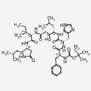 CC[C@H](C)[C@H](NC(=O)C[C@H](O)[C@H](CC(C)C)NC(=O)[C@H](Cc1c[nH]cn1)NC(=O)[C@H](Cc1ccccc1)NC(=O)OC(C)(C)C)C(=O)N[C@@H]1CC(=O)N[C@H]1CC(C)C